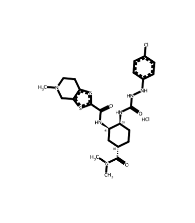 CN1CCc2nc(C(=O)N[C@@H]3C[C@@H](C(=O)N(C)C)CC[C@@H]3NC(=O)NNc3ccc(Cl)cc3)sc2C1.Cl